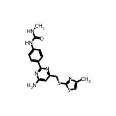 CNC(=O)Nc1ccc(-c2nc(N)cc(CSc3nc(C)cs3)n2)cc1